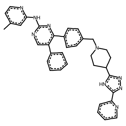 Cc1ccnc(Nc2ncc(-c3ccccc3)c(-c3ccc(CN4CCC(c5nnc(-c6ccccn6)[nH]5)CC4)cc3)n2)c1